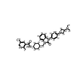 Cc1ncc(Cl)cc1C(=O)N[C@H]1CC[C@H](Cn2c(=O)n(-c3ccc(N4CC(N(C)C)C4)nc3)c3ccccc32)CC1